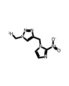 [2H]Cn1cc(Cn2ccnc2[N+](=O)[O-])nn1